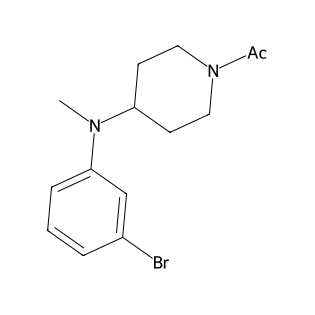 CC(=O)N1CCC(N(C)c2cccc(Br)c2)CC1